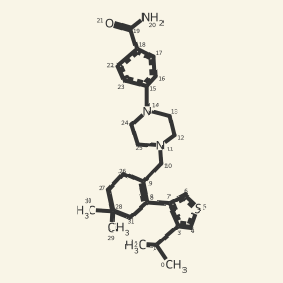 CC(C)c1cscc1C1=C(CN2CCN(c3ccc(C(N)=O)cc3)CC2)CCC(C)(C)C1